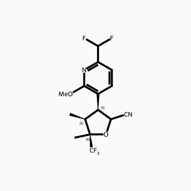 COc1nc(C(F)F)ccc1[C@H]1C(C#N)O[C@@](C)(C(F)(F)F)[C@H]1C